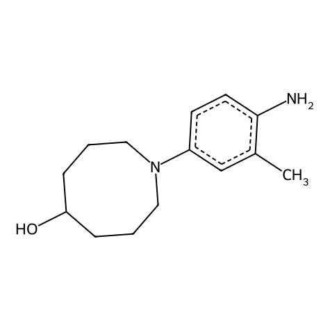 Cc1cc(N2CCCC(O)CCC2)ccc1N